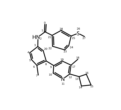 C=C(Nc1ccc(C)c(-c2cnc(C3CCC3)c(C)c2)c1)c1cccc(SC)c1